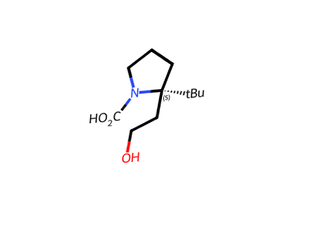 CC(C)(C)[C@@]1(CCO)CCCN1C(=O)O